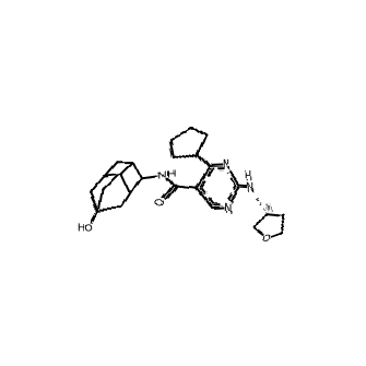 O=C(NC1C2CC3CC1CC(O)(C3)C2)c1cnc(N[C@@H]2CCOC2)nc1C1CCCC1